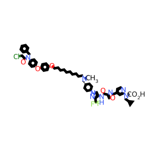 CN(CCCCCCCCCCOc1ccc(Oc2ccc(N(Cc3ccccc3)C(=O)CCl)cc2)cc1)C[C@H]1CC[C@H](n2cc(NC(=O)c3coc(-c4ccnc(N(CC5CC5)C(=O)O)c4)n3)c(C(F)F)n2)CC1